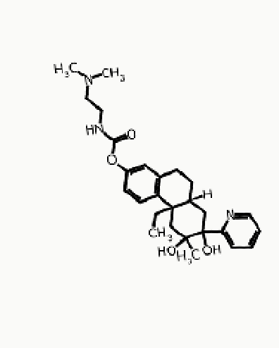 CCC12CC(C)(O)C(O)(c3ccccn3)C[C@H]1CCc1cc(OC(=O)NCCN(C)C)ccc12